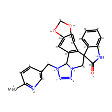 COc1ccc(CN2N=NN3CC4(C(=O)Nc5ccccc54)c4cc5c(cc4C23)OCO5)cn1